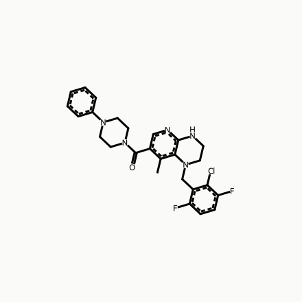 Cc1c(C(=O)N2CCN(c3ccccc3)CC2)cnc2c1N(Cc1c(F)ccc(F)c1Cl)CCN2